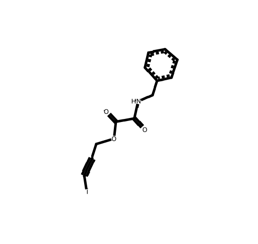 O=C(NCc1ccccc1)C(=O)OCC#CI